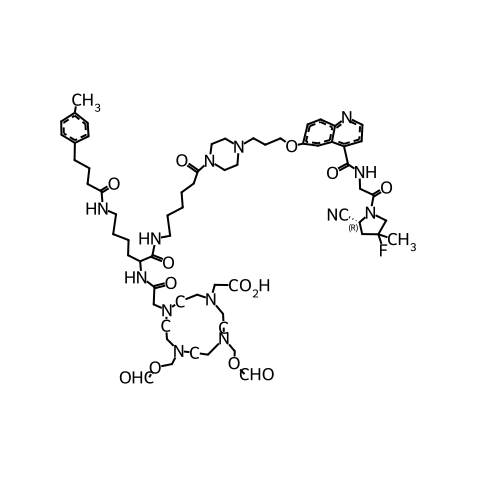 Cc1ccc(CCCC(=O)NCCCCC(NC(=O)CN2CCN(COC=O)CCN(COC=O)CCN(CC(=O)O)CC2)C(=O)NCCCCCC(=O)N2CCN(CCCOc3ccc4nccc(C(=O)NCC(=O)N5CC(C)(F)C[C@@H]5C#N)c4c3)CC2)cc1